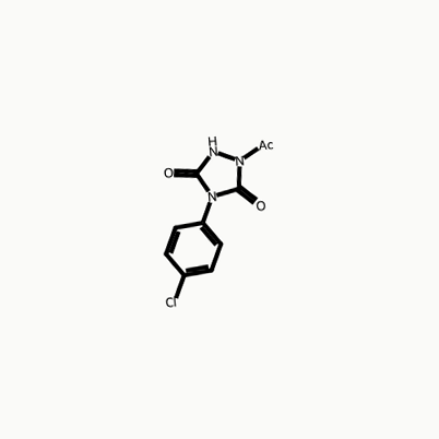 CC(=O)n1[nH]c(=O)n(-c2ccc(Cl)cc2)c1=O